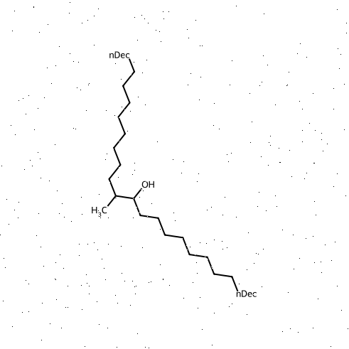 CCCCCCCCCCCCCCCCCC[C](C)C(O)CCCCCCCCCCCCCCCCCC